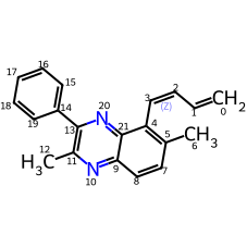 C=C/C=C\c1c(C)ccc2nc(C)c(-c3ccccc3)nc12